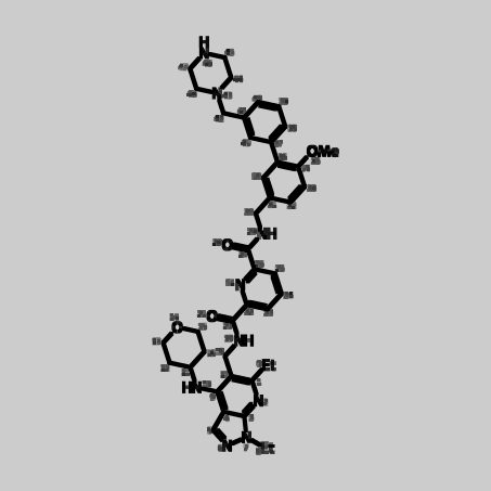 CCc1nc2c(cnn2CC)c(NC2CCOCC2)c1CNC(=O)c1cccc(C(=O)NCc2ccc(OC)c(-c3cccc(CN4CCNCC4)c3)c2)n1